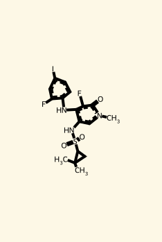 Cn1cc(NS(=O)(=O)C2CC2(C)C)c(Nc2ccc(I)cc2F)c(F)c1=O